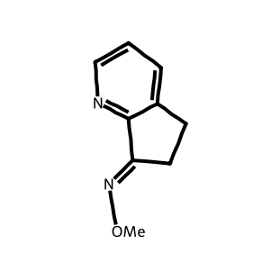 CON=C1CCc2cccnc21